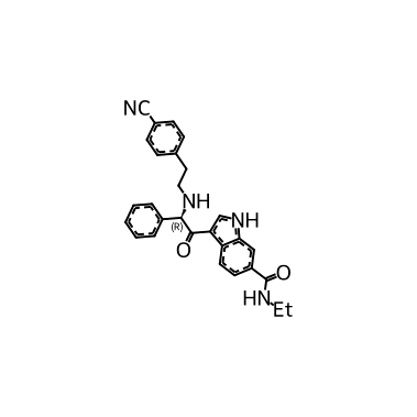 CCNC(=O)c1ccc2c(C(=O)[C@H](NCCc3ccc(C#N)cc3)c3ccccc3)c[nH]c2c1